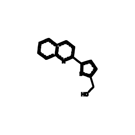 OCc1ccc(-c2ccc3ccccc3n2)s1